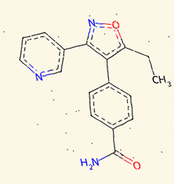 CCc1onc(-c2cccnc2)c1-c1ccc(C(N)=O)cc1